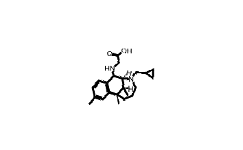 Cc1ccc2c(c1)[C@@]1(C)CCCN(CC3CC3)[C@H](C2NCC(=O)O)[C@@H]1C